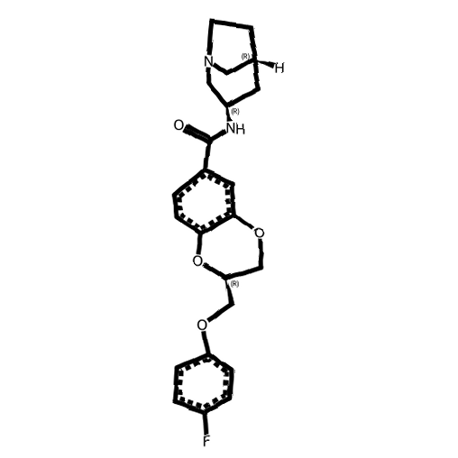 O=C(N[C@@H]1C[C@H]2CCN(C2)C1)c1ccc2c(c1)OC[C@@H](COc1ccc(F)cc1)O2